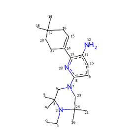 CCN1C(C)(C)CN(c2ccc(N)c(C3=CCC(C)(C)CC3)n2)CC1(C)C